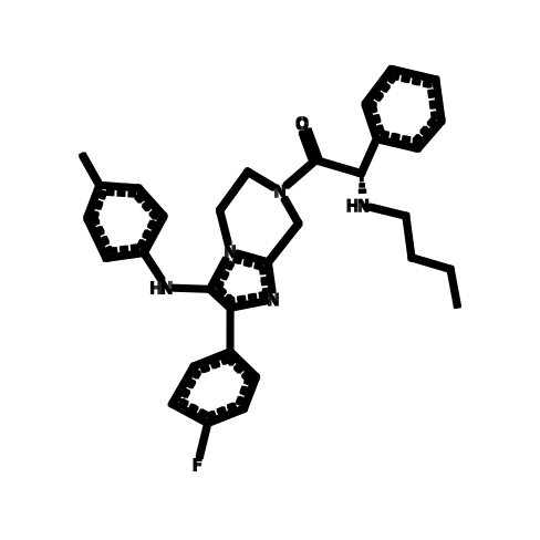 CCCCN[C@H](C(=O)N1CCn2c(nc(-c3ccc(F)cc3)c2Nc2ccc(C)cc2)C1)c1ccccc1